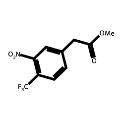 COC(=O)Cc1ccc(C(F)(F)F)c([N+](=O)[O-])c1